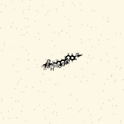 CCOc1ccc2c(c1)CCc1c(CC(CCCNC(=O)OC(C)(C)C)C(=O)O)ncn1-2